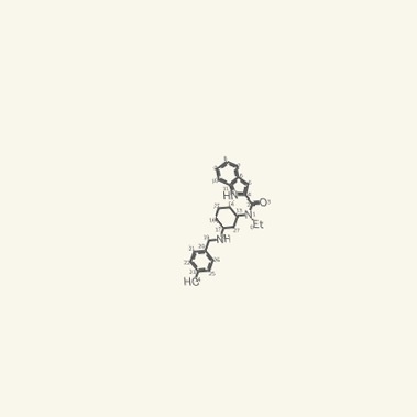 CCN(C(=O)c1cc2ccccc2[nH]1)C1CCCC(NCc2ccc(O)cc2)C1